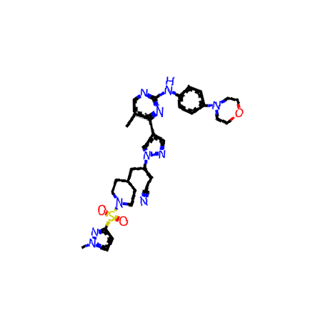 Cc1cnc(Nc2ccc(N3CCOCC3)cc2)nc1-c1cnn(C(CC#N)CC2CCN(S(=O)(=O)c3ccn(C)n3)CC2)c1